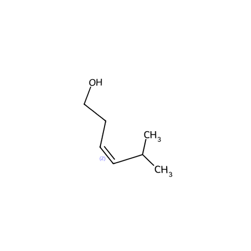 CC(C)/C=C\CCO